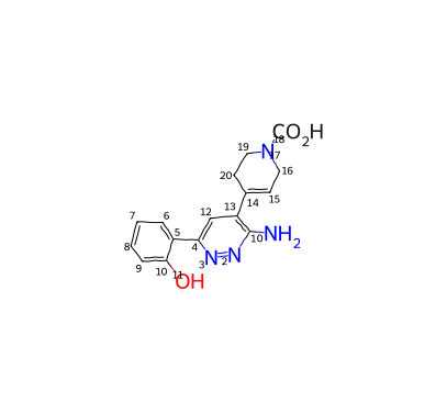 Nc1nnc(-c2ccccc2O)cc1C1=CCN(C(=O)O)CC1